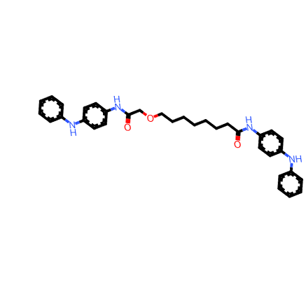 O=C(CCCCCCCOCC(=O)Nc1ccc(Nc2ccccc2)cc1)Nc1ccc(Nc2ccccc2)cc1